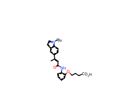 CCC(C)n1ccc2cc(C(C)=CC(=O)Nc3ccccc3OCCCC(=O)O)ccc21